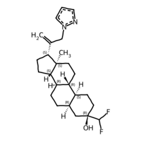 C=C(Cn1cccn1)[C@H]1CC[C@H]2[C@@H]3CC[C@@H]4C[C@@](O)(C(F)F)CC[C@@H]4[C@H]3CC[C@]12C